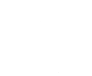 CC(C)(C)OC(=O)N1CCN(Cc2cccc(C#N)c2C(F)(F)F)C(=O)C1